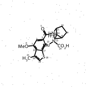 COc1cc(C(=O)N2CC3CCC2[C@@H]3N(C(=O)O)C(C)(C)C)cc2scc(C)c12